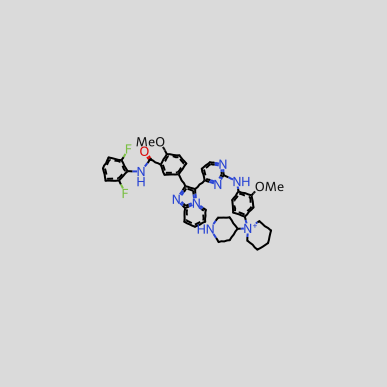 COc1cc([N+]2(C3CCNCC3)CCCCC2)ccc1Nc1nccc(-c2c(-c3ccc(OC)c(C(=O)Nc4c(F)cccc4F)c3)nc3ccccn23)n1